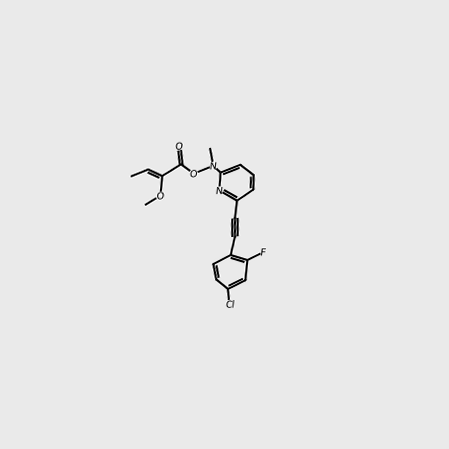 CC=C(OC)C(=O)ON(C)c1cccc(C#Cc2ccc(Cl)cc2F)n1